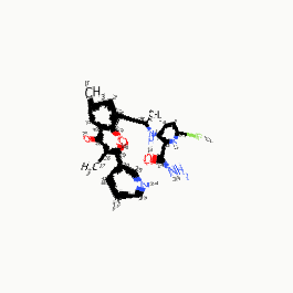 Cc1cc([C@@H](C)Nc2ccc(F)nc2C(N)=O)c2oc(-c3cccnc3)c(C)c(=O)c2c1